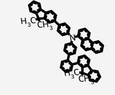 CC1(C)c2ccccc2-c2ccc(-c3ccc(N(c4ccc(-c5ccccc5-c5cccc6c5C(C)(C)c5ccccc5-6)cc4)c4cccc5c4ccc4ccccc45)cc3)cc21